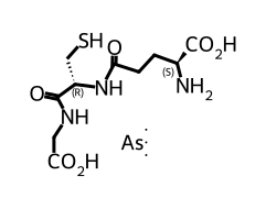 N[C@@H](CCC(=O)N[C@@H](CS)C(=O)NCC(=O)O)C(=O)O.[As]